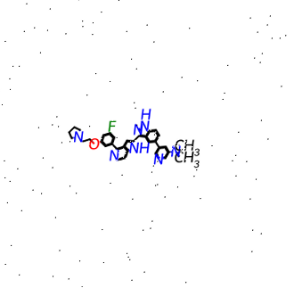 CN(C)c1cncc(-c2ccc3[nH]nc(-c4cc5c(-c6cc(F)cc(OCCN7CCCC7)c6)nccc5[nH]4)c3c2)c1